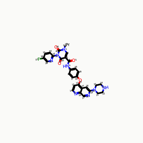 CC(C)n1cc(C(=O)Nc2ccc(Oc3ccnc4cnc(N5CCNCC5)cc34)cc2)c(=O)n(-c2ccc(F)cn2)c1=O